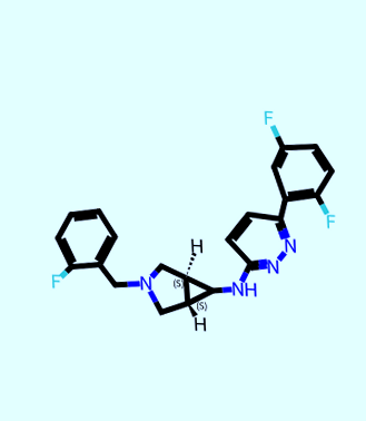 Fc1ccc(F)c(-c2ccc(NC3[C@@H]4CN(Cc5ccccc5F)C[C@@H]34)nn2)c1